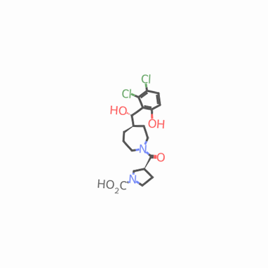 O=C(O)N1CC[C@H](C(=O)N2CCC[C@@H]([C@H](O)c3c(O)ccc(Cl)c3Cl)CC2)C1